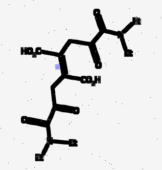 CCN(CC)C(=O)C(=O)C/C(C(=O)O)=C(/CC(=O)C(=O)N(CC)CC)C(=O)O